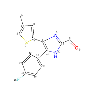 Cc1csc(-c2nc(C=O)[nH]c2-c2ccc(F)cc2)c1